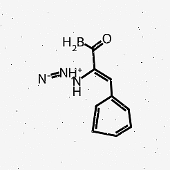 BC(=O)/C(=C/c1ccccc1)N[NH+]=[N-]